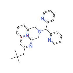 CC(C)(C)Cc1cccc(CN(Cc2ccccn2)C(c2ccccn2)c2ccccn2)n1